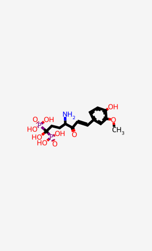 COc1cc(C=CC(=O)C(N)CCC(O)(P(=O)(O)O)P(=O)(O)O)ccc1O